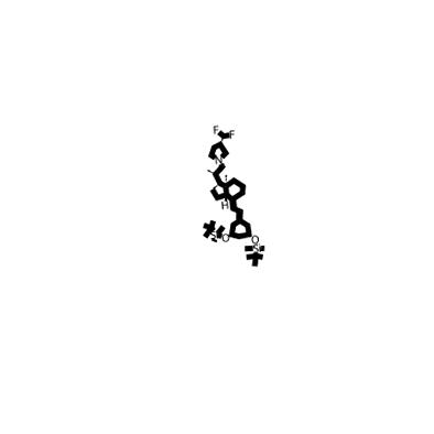 C[C@H](CN1CC[C@H](C(F)F)C1)[C@H]1CC[C@H]2/C(=C/C=C3C[C@@H](O[Si](C)(C)C(C)(C)C)C[C@H](O[Si](C)(C)C(C)(C)C)C3)CCC[C@]12C